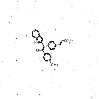 CCOC(=O)/C=C/c1ccc(/C(=C(/CC)c2ccc(OC)cc2)c2cc3ccccc3[nH]2)cc1